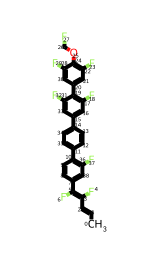 C/C=C/C(F)=C(\F)c1ccc(-c2ccc(-c3cc(F)c(-c4cc(F)c(OCF)c(F)c4)c(F)c3)cc2)c(F)c1